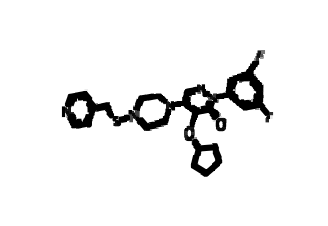 O=c1c(OC2CCCC2)c(N2CCN(SCc3ccncc3)CC2)cnn1-c1cc(F)cc(F)c1